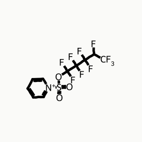 O=S(=O)(OC(F)(F)C(F)(F)C(F)(F)C(F)C(F)(F)F)[n+]1ccccc1